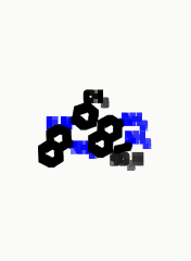 Cc1cccc(N)c1.NCCS(=O)(=O)O.Nc1ccc2ccccc2c1.Nc1cccc2ccccc12